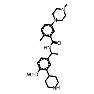 COc1ccc(C(C)NC(=O)c2cc(N3CCN(C)CC3)ccc2C)cc1C1CCNCC1